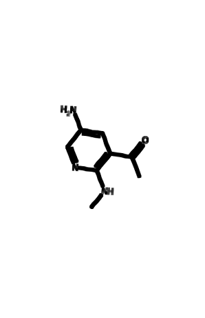 CNc1ncc(N)cc1C(C)=O